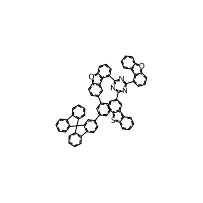 c1cc(-c2ccc3c(c2)C2(c4ccccc4-c4ccccc42)c2ccccc2-3)cc(-c2ccc3oc4cccc(-c5nc(-c6ccc7sc8ccccc8c7c6)nc(-c6cccc7oc8ccccc8c67)n5)c4c3c2)c1